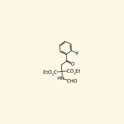 CCOC(=O)C(CC(=O)c1ccccc1F)(NC=O)C(=O)OCC